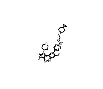 C[C@@H](OCCN1CCC2(CC1)CC2)c1ccc(-c2cc3c(cc2F)nnc2c3n(C3CCOCC3)c(=O)n2C)cn1